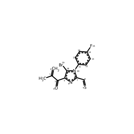 C=C(C)C(=O)c1nc(C=S)n(-c2ccc(F)cc2)c1Br